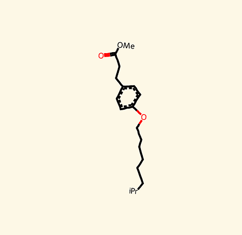 COC(=O)CCc1ccc(OCCCCCCC(C)C)cc1